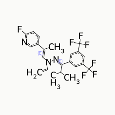 C=CN(/C=C(\C)c1ccc(F)nc1)/N=C(/c1cc(C(F)(F)F)cc(C(F)(F)F)c1)C(C)C